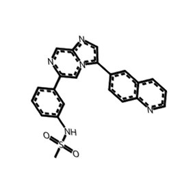 CS(=O)(=O)Nc1cccc(-c2cn3c(-c4ccc5ncccc5c4)cnc3cn2)c1